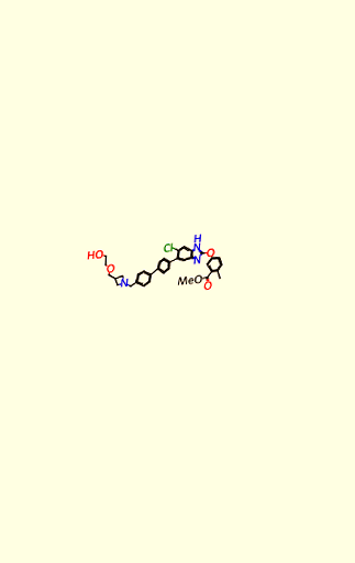 COC(=O)c1cc(Oc2nc3cc(-c4ccc(-c5ccc(CN6CC(COCCO)C6)cc5)cc4)c(Cl)cc3[nH]2)ccc1C